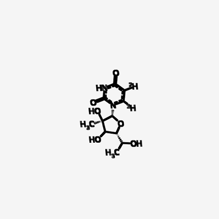 [2H]c1c([2H])n([C@@H]2O[C@H](C(C)O)C(O)[C@@]2(C)O)c(=O)[nH]c1=O